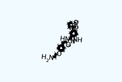 NCCOc1ccc(CC(=O)Nc2n[nH]c3ccc(N4CCCS4(=O)=O)cc23)cc1